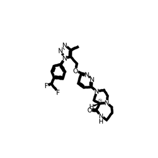 Cc1nnn(-c2ccc(C(F)F)cc2)c1COc1ccc(N2CCN3CCCNC(=O)[C@@H]3C2)nn1